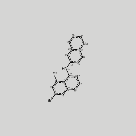 Fc1cc(Br)cc2ncnc(Nc3ccc4ncccc4c3)c12